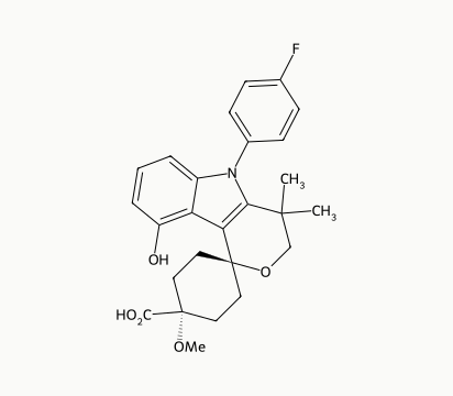 CO[C@]1(C(=O)O)CC[C@]2(CC1)OCC(C)(C)c1c2c2c(O)cccc2n1-c1ccc(F)cc1